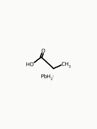 CCC(=O)O.[PbH2]